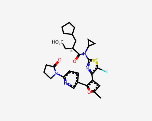 Cc1cc(-c2nc(N(C(=O)[C@@H](CC(=O)O)CC3CCCC3)C3CC3)sc2F)c(-c2ccc(N3CCCC3=O)nc2)o1